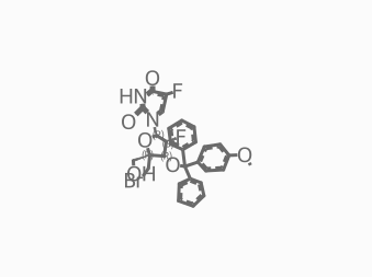 COc1ccc(C(O[C@H]2[C@H](F)[C@H](n3cc(F)c(=O)[nH]c3=O)O[C@@]2(CO)CBr)(c2ccccc2)c2ccccc2)cc1